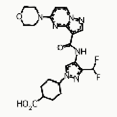 O=C(Nc1cn(C2CCC(C(=O)O)CC2)nc1C(F)F)c1cnn2ccc(N3CCOCC3)nc12